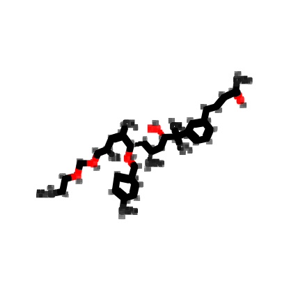 CC[C@H](/C=C(/C)[C@H](C[C@H](C[C@H](O)C(C)(C)c1cccc(CCCC(=O)OC)c1)OC)OCc1ccc(OC)cc1)COCOCCOC